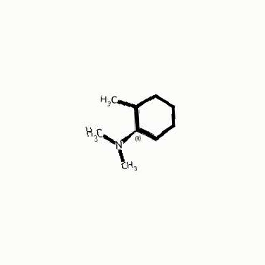 CC1CCCC[C@H]1N(C)C